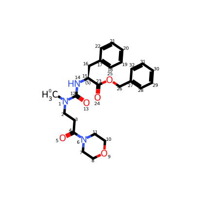 CN(CCC(=O)N1CCOCC1)C(=O)N[C@@H](Cc1ccccc1)C(=O)OCc1ccccc1